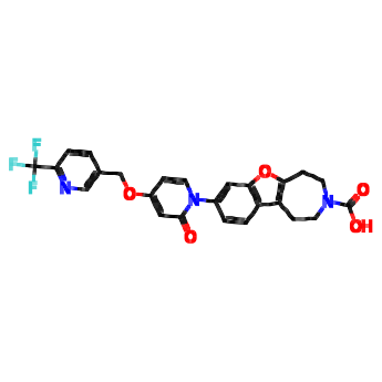 O=C(O)N1CCc2oc3cc(-n4ccc(OCc5ccc(C(F)(F)F)nc5)cc4=O)ccc3c2CC1